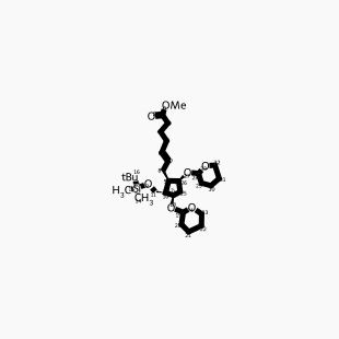 COC(=O)CCCC=CC[C@@H]1[C@@H](CO[Si](C)(C)C(C)(C)C)[C@H](OC2CCCCO2)C[C@@H]1OC1CCCCO1